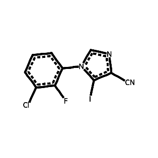 N#Cc1ncn(-c2cccc(Cl)c2F)c1I